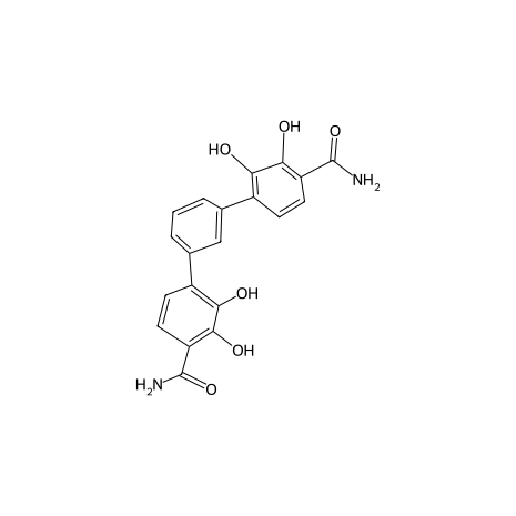 NC(=O)c1ccc(-c2cccc(-c3ccc(C(N)=O)c(O)c3O)c2)c(O)c1O